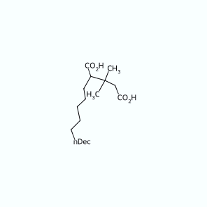 CCCCCCCCCCCCCCCC(C(=O)O)C(C)(C)CC(=O)O